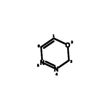 C1=COCN=N1